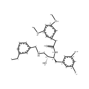 CCc1cccc(CNC[C@@H](O)[C@H](Cc2cc(F)cc(F)c2)NC(=O)Cc2cc(OC)cc(OC)c2)c1